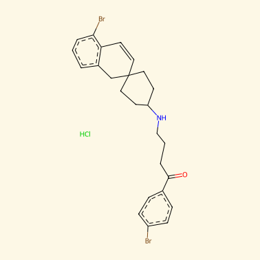 Cl.O=C(CCCNC1CCC2(C=Cc3c(Br)cccc3C2)CC1)c1ccc(Br)cc1